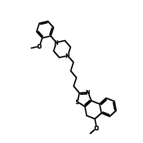 COc1ccccc1N1CCN(CCCCc2nc3c(s2)CC(OC)c2ccccc2-3)CC1